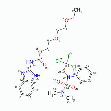 CCOCCOCCOC(=O)Nc1nc2ccccc2[nH]1.CN(C)S(=O)(=O)N(SC(F)(Cl)Cl)c1ccccc1